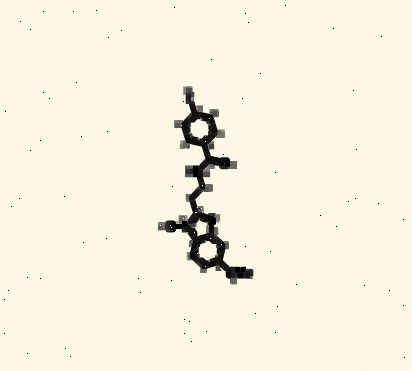 COc1ccc2c(c1)sc(CCNC(=O)c1ccc(F)cc1)[n+]2[O-]